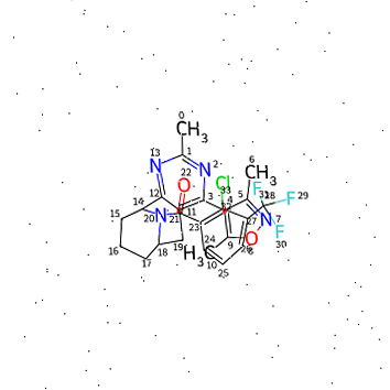 Cc1nc(-c2c(C)noc2C)c2c(n1)C1CCCC(C2)N1C(=O)c1cccc(C(F)(F)F)c1Cl